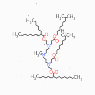 CCCCCCCCC(CCCCCC)C(=O)OCCN(CCCN(C)CCCN(CCOC(=O)C(CCCCCC)CCCCCCCC)CCC(=O)OCCCCCCCC(C)C)CCC(=O)OCCCCCCCC(C)C